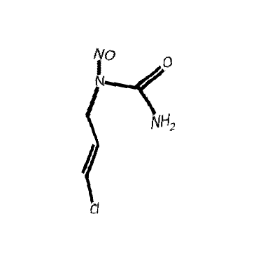 NC(=O)N(CC=CCl)N=O